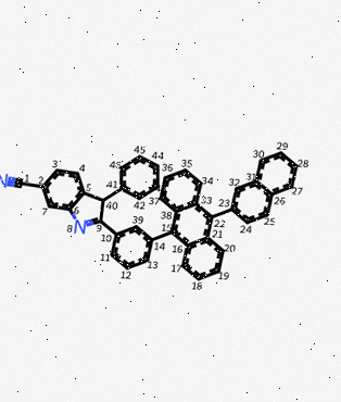 N#Cc1ccc2c(c1)N=C(c1cccc(-c3c4ccccc4c(-c4ccc5ccccc5c4)c4ccccc34)c1)C2c1ccccc1